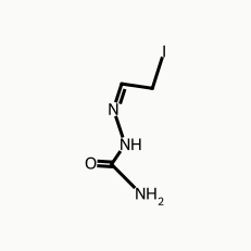 NC(=O)N/N=C\CI